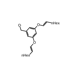 CCCCCCC=COc1cc(C[O])cc(OC=CCCCCCC)c1